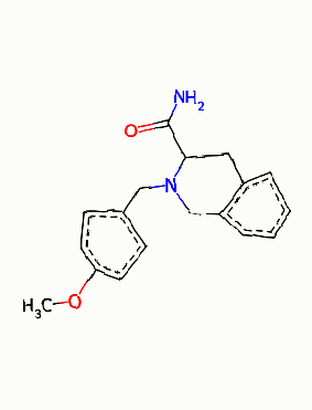 COc1ccc(CN2Cc3ccccc3CC2C(N)=O)cc1